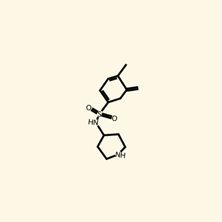 C=C1CC(S(=O)(=O)NC2CCNCC2)=CC=C1C